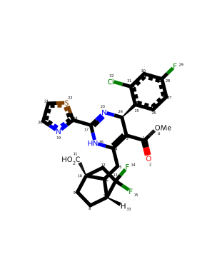 COC(=O)C1=C(CC2[C@H]3CC[C@]2(C(=O)O)CC3(F)F)NC(c2nccs2)=N[C@H]1c1ccc(F)cc1Cl